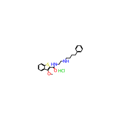 COc1c(C(=O)NCCNCCCCc2ccccc2)sc2ccccc12.Cl